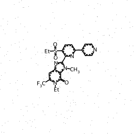 CCn1c(C(F)(F)F)cc2nc(-c3nc(-c4ccncc4)ccc3S(=O)(=O)CC)n(C)c2c1=O